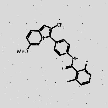 COc1ccc2cc(C(F)(F)F)c(-c3ccc(NC(=O)c4c(F)cccc4F)cc3)n2c1